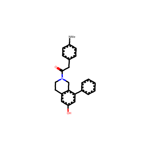 CNc1ccc(CC(=O)N2CCc3cc(O)cc(-c4ccccc4)c3C2)cc1